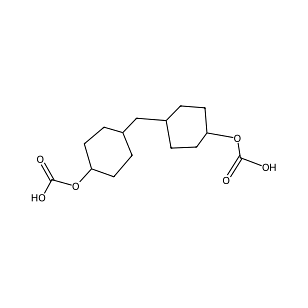 O=C(O)OC1CCC(CC2CCC(OC(=O)O)CC2)CC1